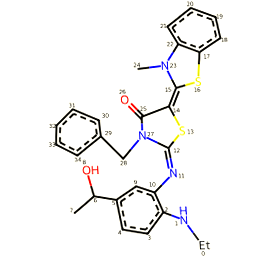 CCNc1ccc(C(C)O)cc1/N=C1/S/C(=C2\Sc3ccccc3N2C)C(=O)N1Cc1ccccc1